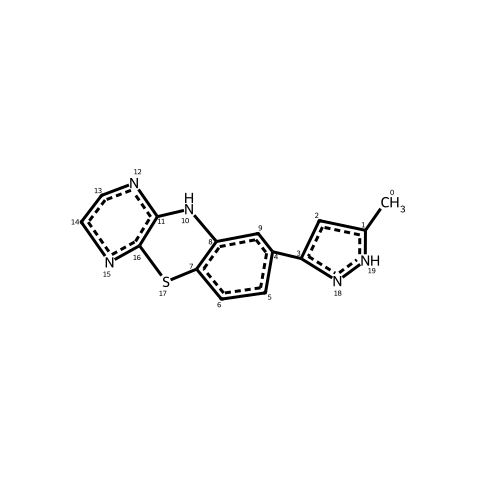 Cc1cc(-c2ccc3c(c2)Nc2nccnc2S3)n[nH]1